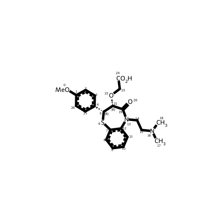 COc1ccc([C@H]2Sc3ccccc3N(CCN(C)C)C(=O)[C@H]2OCC(=O)O)cc1